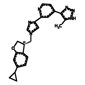 Cc1[nH]nnc1-c1ccnc(-c2cn(C[C@H]3COc4cc(C5CC5)ccc43)cn2)c1